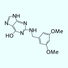 COc1cc(CNc2nc(O)c3nc[nH]c3n2)cc(OC)c1